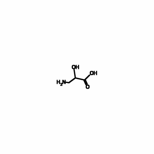 NCC(O)C(=O)O